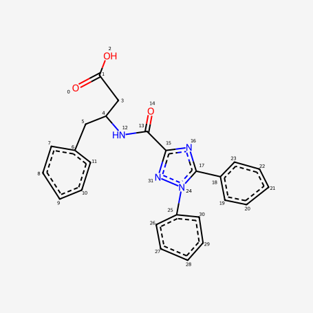 O=C(O)CC(Cc1ccccc1)NC(=O)c1nc(-c2ccccc2)n(-c2ccccc2)n1